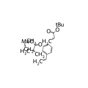 C=C(C)C(=O)OC.C=CC.C=CC(=O)OC(C)(C)C.C=Cc1ccccc1